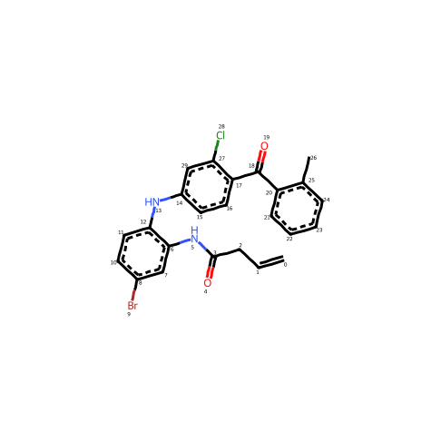 C=CCC(=O)Nc1cc(Br)ccc1Nc1ccc(C(=O)c2ccccc2C)c(Cl)c1